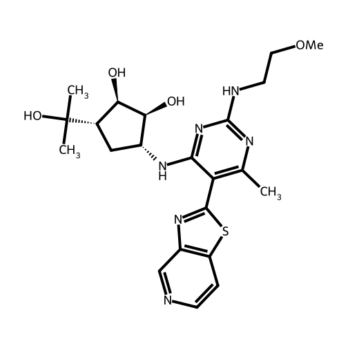 COCCNc1nc(C)c(-c2nc3cnccc3s2)c(N[C@@H]2C[C@H](C(C)(C)O)[C@@H](O)[C@H]2O)n1